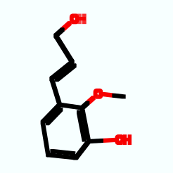 COc1c(O)cccc1C=CCO